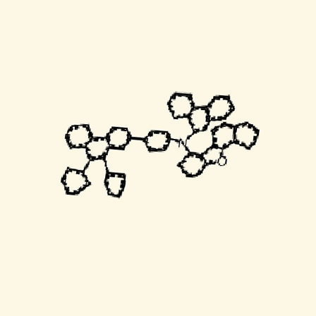 c1ccc(-c2c(-c3ccccc3)c3cc(-c4ccc(N(c5cc6ccccc6c6ccccc56)c5cccc6oc7c8ccccc8ccc7c56)cc4)ccc3c3ccccc23)cc1